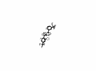 O=C(NNC(=O)c1ncc(C(F)(F)F)cc1Cl)c1cc(C(F)(F)F)ccn1